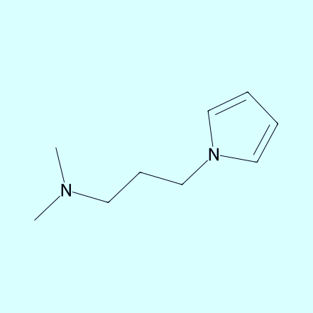 CN(C)CCCn1cccc1